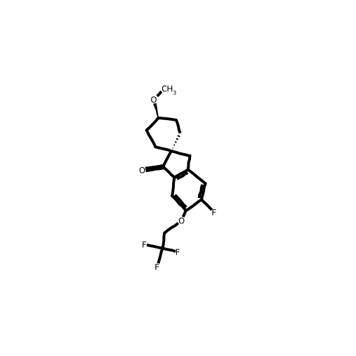 CO[C@H]1CC[C@]2(CC1)Cc1cc(F)c(OCC(F)(F)F)cc1C2=O